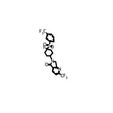 O=C1c2ccc(C(F)(F)F)nc2CN1C1CCC(F)(S(=O)(=O)c2cccc(C(F)(F)F)c2)CC1